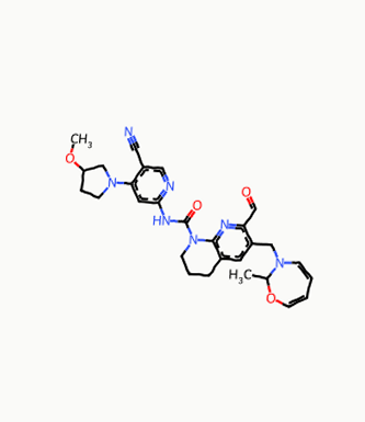 COC1CCN(c2cc(NC(=O)N3CCCc4cc(CN5C=CC=COC5C)c(C=O)nc43)ncc2C#N)C1